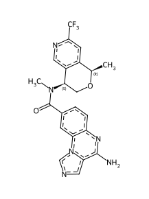 C[C@H]1OC[C@@H](N(C)C(=O)c2ccc3nc(N)c4cncn4c3c2)c2cnc(C(F)(F)F)cc21